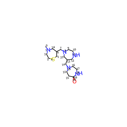 CN1CCSCC(CN2CCNCC(CN3CCNC(=O)CC3)C2)C1